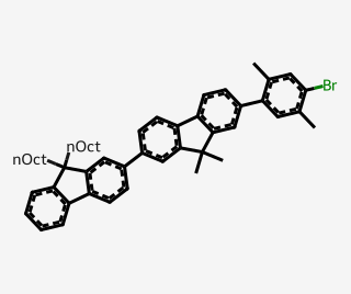 CCCCCCCCC1(CCCCCCCC)c2ccccc2-c2ccc(-c3ccc4c(c3)C(C)(C)c3cc(-c5cc(C)c(Br)cc5C)ccc3-4)cc21